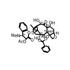 CN[C@@H](c1ccccc1)C(OC(C)=O)C(=O)O[C@H]1C[C@@]2(O)[C@@H](OC(=O)c3ccccc3)[C@@H]3[C@]4(OC(C)=O)CO[C@@H]4C[C@H](O)[C@@]3(C)C(=O)[C@H](O)C(=C1C)C2(C)C